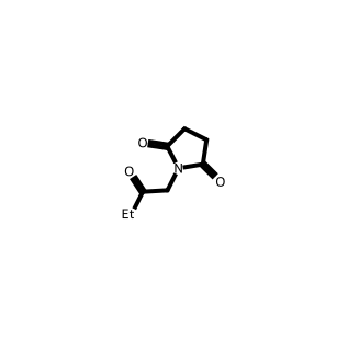 CCC(=O)CN1C(=O)CCC1=O